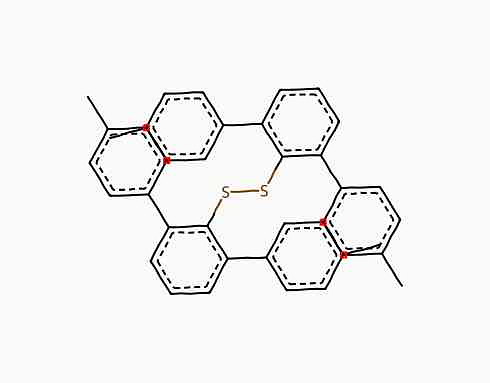 Cc1ccc(-c2cccc(-c3ccc(C)cc3)c2SSc2c(-c3ccc(C)cc3)cccc2-c2ccc(C)cc2)cc1